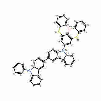 c1ccc(-n2c3ccccc3c3cc(-c4ccc5c(c4)c4ccccc4n5-c4cc5c6c(c4)Sc4ccccc4B6c4ccccc4S5)ccc32)cc1